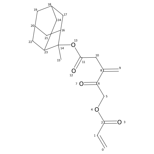 C=CC(=O)OCC(=O)C(=C)CC(=O)OC1(C)C2CC3CC(C2)CC1C3